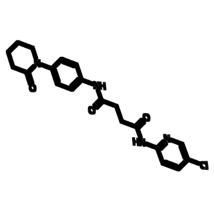 O=C(CCC(=O)Nc1ccc(Cl)cn1)Nc1ccc(N2CCCCC2=O)cc1